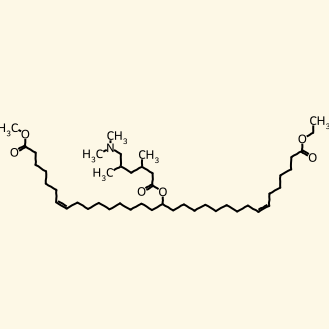 CCOC(=O)CCCCC/C=C\CCCCCCCCC(CCCCCCCC/C=C\CCCCCC(=O)OC)OC(=O)CC(C)CC(C)CN(C)C